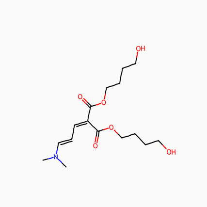 CN(C)/C=C/C=C(C(=O)OCCCCO)C(=O)OCCCCO